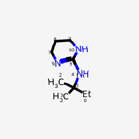 CCC(C)(C)NC1=NCCCN1